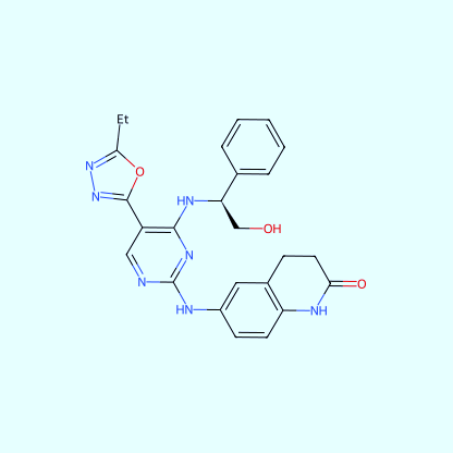 CCc1nnc(-c2cnc(Nc3ccc4c(c3)CCC(=O)N4)nc2N[C@H](CO)c2ccccc2)o1